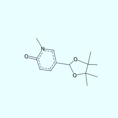 Cn1cc(C2OC(C)(C)C(C)(C)O2)ccc1=O